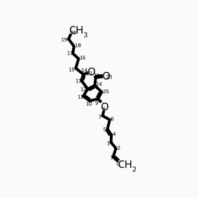 C=CCC/C=C/CCOc1ccc2cc(CCCCCC)oc(=O)c2c1